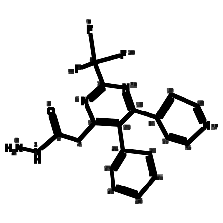 NNC(=O)Cc1nc(C(F)(F)F)nc(-c2ccncc2)c1-c1ccccc1